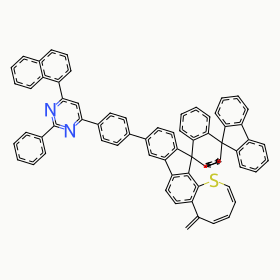 C=C1/C=C\C=C/Sc2c1ccc1c2C2(c3ccc(-c4ccc(-c5cc(-c6cccc7ccccc67)nc(-c6ccccc6)n5)cc4)cc3-1)c1ccccc1C1(c3ccccc3-c3ccccc31)c1ccccc12